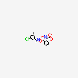 CO/N=C(/C(=O)OC)c1ccccc1CO/N=C(\C)c1cc(C)cc(Cl)c1